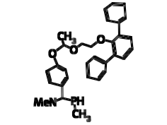 CNC(PC)c1ccc(OC(C)OCCOc2c(-c3ccccc3)cccc2-c2ccccc2)cc1